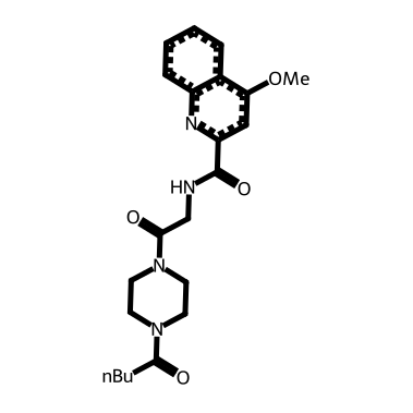 CCCCC(=O)N1CCN(C(=O)CNC(=O)c2cc(OC)c3ccccc3n2)CC1